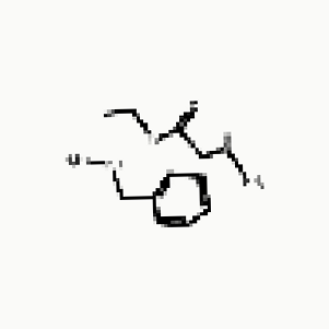 CCOC(=O)CNN.NNCc1ccccc1